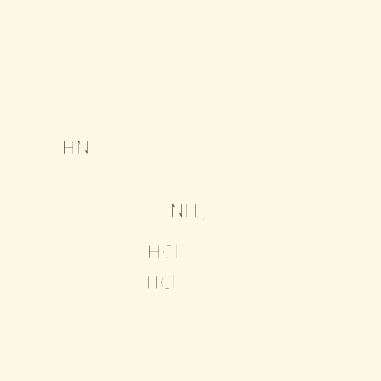 CCCC1CCNCC1.Cl.Cl.N